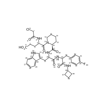 O=C(O)CCC(NC(=O)CCl)C(=O)N1CCCC[C@H]1C(=O)NC(Cc1c[nH]c2ccccc12)C(=O)NC(Cc1ccc(F)cc1)C(=O)NC1CCC1